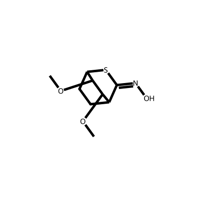 COC1C2CCC(C(=NO)S2)C1OC